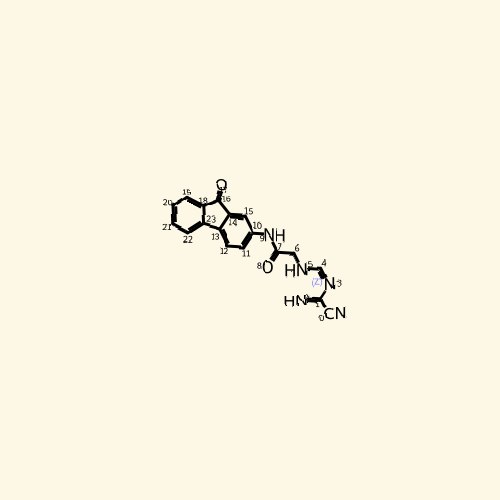 N#CC(=N)/N=C\NCC(=O)Nc1ccc2c(c1)C(=O)c1ccccc1-2